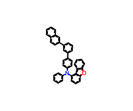 c1ccc(N(c2ccc(-c3cccc(-c4ccc5ccccc5c4)c3)cc2)c2cccc3oc4ccccc4c23)cc1